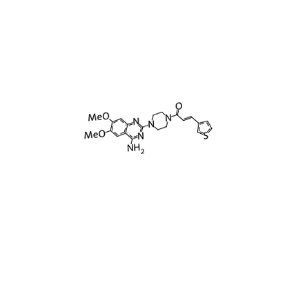 COc1cc2nc(N3CCN(C(=O)/C=C/c4ccsc4)CC3)nc(N)c2cc1OC